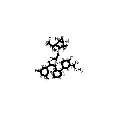 C/C(=C(\NC(=O)Cn1nc(C(F)F)c2c1C(F)(F)[C@@H]1C[C@H]21)c1ncccc1-c1ccc(F)c(C(N)=O)c1)c1cc(F)cc(F)c1